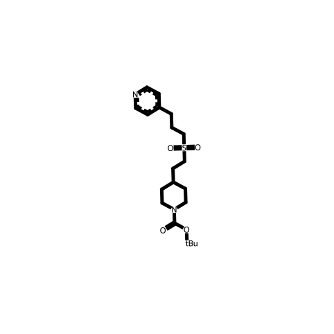 CC(C)(C)OC(=O)N1CCC(CCS(=O)(=O)CCCc2ccncc2)CC1